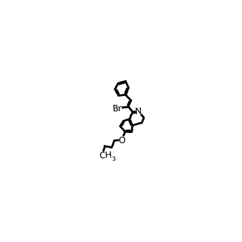 CCCCOc1ccc2c(c1)CCN=C2C(Br)=Cc1ccccc1